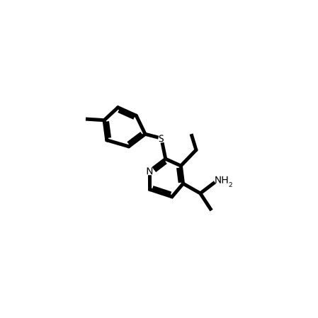 CCc1c(C(C)N)ccnc1Sc1ccc(C)cc1